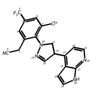 N#CCc1cc(C(F)(F)F)cc(Cl)c1N1CC(c2ccnc3[nH]ccc23)C=N1